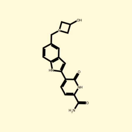 NC(=O)c1[c]cc(-c2cc3cc(CN4CC(O)C4)ccc3[nH]2)c(=O)[nH]1